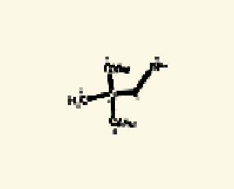 CCC[CH][Si](C)(OC)OC